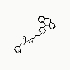 O=C(CCc1cccnc1)NCCCCN1CCC(C2c3ccccc3CCc3ccccc32)CC1